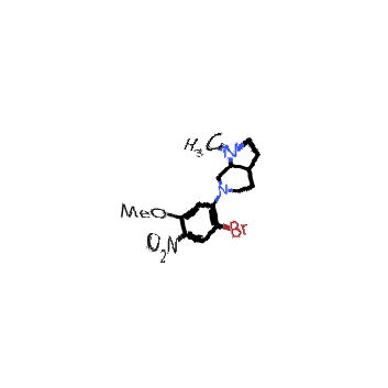 COc1cc(N2CCC3CCN(C)C3C2)c(Br)cc1[N+](=O)[O-]